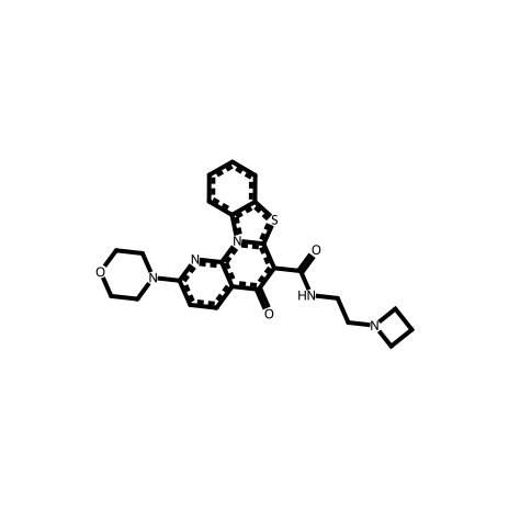 O=C(NCCN1CCC1)c1c(=O)c2ccc(N3CCOCC3)nc2n2c1sc1ccccc12